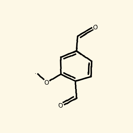 [CH2]Oc1cc(C=O)ccc1C=O